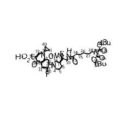 COc1c(N2CCCC(=C(F)CNC(=O)CCCCCN(C(=O)OC(C)(C)C)C(=O)OC(C)(C)C)C2)c(F)cc2c(=O)c(C(=O)O)cn(C3CC3)c12